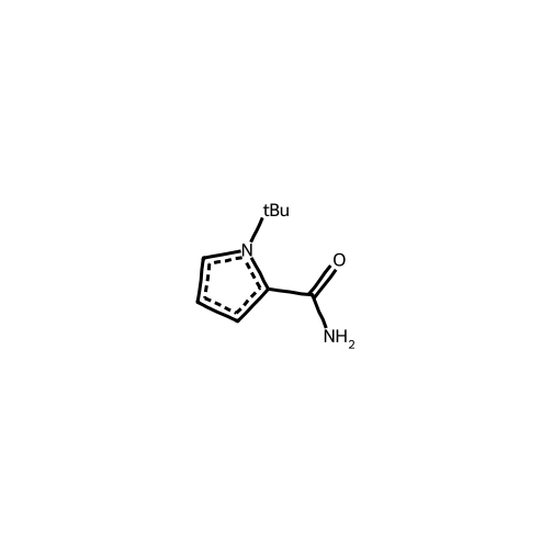 CC(C)(C)n1cccc1C(N)=O